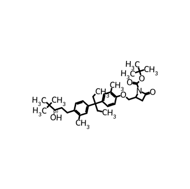 CCC(CC)(c1ccc(CC[C@H](O)C(C)(C)C)c(C)c1)c1ccc(OCC2CC(=O)N2C(=O)OC(C)(C)C)c(C)c1